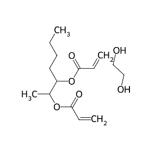 C=CC(=O)OC(C)C(CCCC)OC(=O)C=C.OCCO